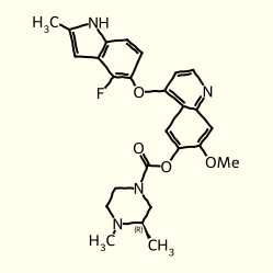 COc1cc2nccc(Oc3ccc4[nH]c(C)cc4c3F)c2cc1OC(=O)N1CCN(C)[C@H](C)C1